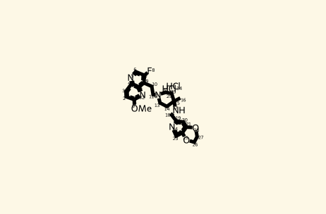 COc1ccc2ncc(F)c(CCN3CCC(C)(NCc4cc5c(cn4)OCCO5)CC3)c2n1.Cl.Cl